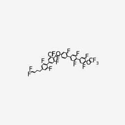 FC(F)=CCCc1cc(F)c(-c2cc(F)c(C(F)(F)Oc3ccc(-c4cc(F)c(-c5cc(F)c(OC(F)(F)F)c(F)c5)c(F)c4)c(F)c3)c(Cl)c2)c(F)c1